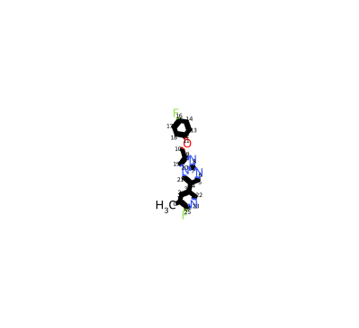 Cc1cc(-c2cnc3nc(COc4ccc(F)cc4)cn3c2)cnc1F